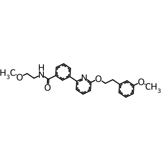 COCCNC(=O)c1cccc(-c2cccc(OCCc3cccc(OC)c3)n2)c1